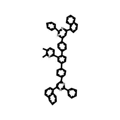 Cc1ccc(-c2cc(-c3ccc(-c4cc(-c5cccc6ccccc56)nc(-c5ccccc5)n4)cc3)ccc2-c2ccc(-c3cc(-c4cccc5ccccc45)nc(-c4ccccc4)n3)cc2)nc1C